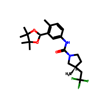 Cc1ccc(NC(=O)N2CC[C@@]([SiH3])(CC(F)(F)F)C2)cc1B1OC(C)(C)C(C)(C)O1